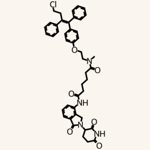 CN(CCOc1ccc(C(=C(CCCl)c2ccccc2)c2ccccc2)cc1)C(=O)CCCCC(=O)Nc1cccc2c1CN(C1CCC(=O)NC1=O)C2=O